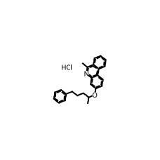 Cc1nc2cc(OC(C)CCCc3ccccc3)ccc2c2ccccc12.Cl